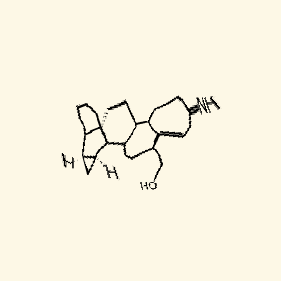 N=C1C=C2C(CO)CC3C(CC[C@@]45CCCCC4[C@@H]4C[C@@H]4C35)C2CC1